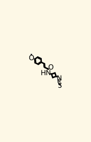 COc1ccc(/C=C/C(=O)NC2CC(N=C=S)C2)cc1